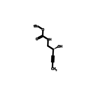 CC#C[C@@H](O)CNC(=O)OC(C)(C)C